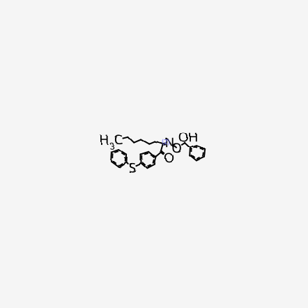 CCCCCC/C(=N/OC(O)c1ccccc1)C(=O)c1ccc(Sc2ccccc2)cc1